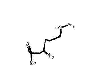 CC(C)(C)C(=O)C(N)CCNP